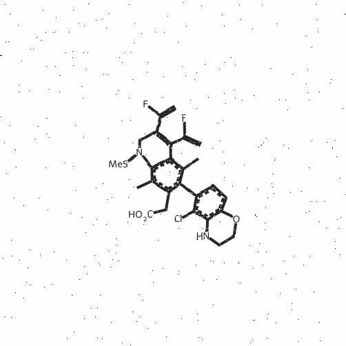 C=C(F)C1=C(C(=C)F)c2c(C)c(-c3ccc4c(c3Cl)NCCO4)c(CC(=O)O)c(C)c2N(SC)C1